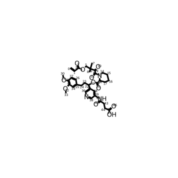 C=CC(=O)OCC(C)(C)C(=O)C(=O)N1CCCC[C@H]1C(=O)OC(CCc1ccc(OC)c(OC)c1)c1cncc(NC(=O)CCC(=O)O)c1